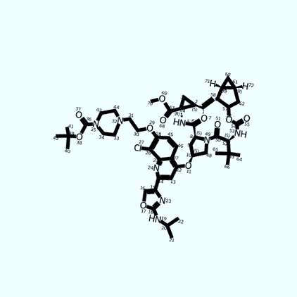 C=C[C@@H]1C[C@]1(NC(=O)[C@@H]1C[C@H](Oc2cc(-c3coc(NC(C)C)n3)nc3c(Cl)c(OCCN4CCN(C(=O)OC(C)(C)C)CC4)ccc23)CN1C(=O)[C@@H](NC(=O)OC1C[C@@H]2C[C@@H]2C1)C(C)(C)C)C(=O)OC